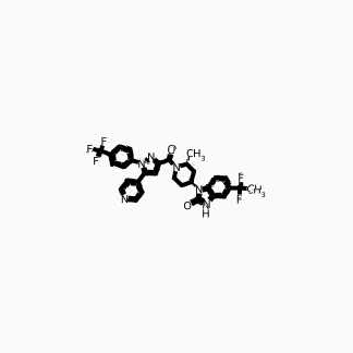 C[C@@H]1C[C@@H](n2c(=O)[nH]c3cc(C(C)(F)F)ccc32)CCN1C(=O)c1cc(-c2ccncc2)n(-c2ccc(C(F)(F)F)cc2)n1